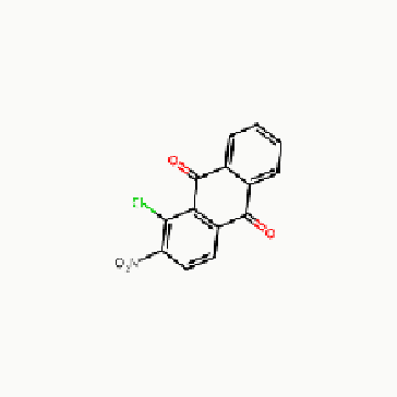 O=C1c2ccccc2C(=O)c2c1ccc([N+](=O)[O-])c2Cl